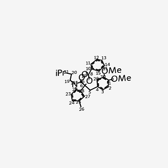 COc1ccc(CC2(OC(=O)c3ccccc3)C(=O)N(CCC(C)C)c3ccc(C)cc32)cc1OC